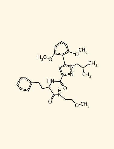 COCCNC(=O)C(CCc1ccccc1)NC(=O)c1cc(-c2c(OC)cccc2OC)n(CC(C)C)n1